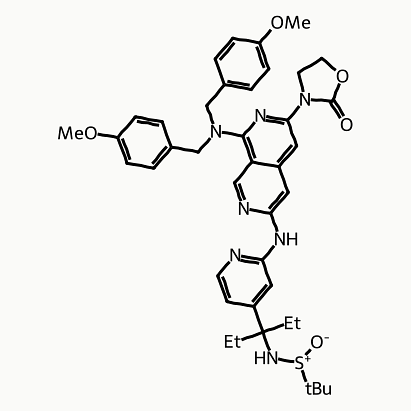 CCC(CC)(N[S+]([O-])C(C)(C)C)c1ccnc(Nc2cc3cc(N4CCOC4=O)nc(N(Cc4ccc(OC)cc4)Cc4ccc(OC)cc4)c3cn2)c1